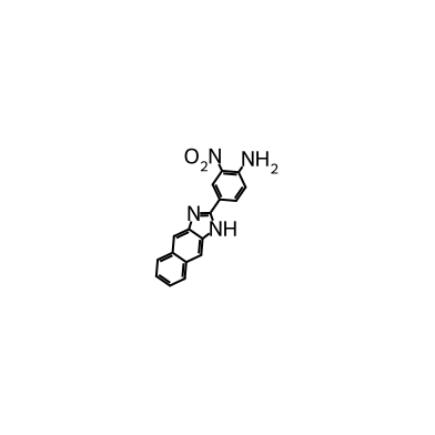 Nc1ccc(-c2nc3cc4ccccc4cc3[nH]2)cc1[N+](=O)[O-]